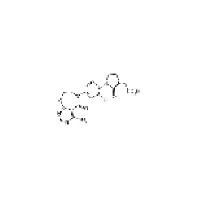 CCOC(=O)CN1CCN(c2ccc(N3CCOc4ncnc(N)c4C3=O)cc2Cl)C1=O